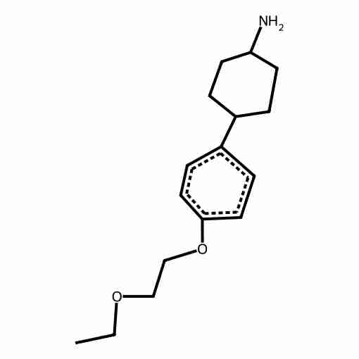 CCOCCOc1ccc(C2CCC(N)CC2)cc1